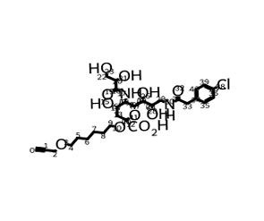 C#CCOCCCCCCO[C@]1(C(=O)O)C[C@H](O)[C@@H](NC(=O)C(O)CO)[C@H]([C@H](O)[C@H](O)CNC(=O)Cc2ccc(Cl)cc2)O1